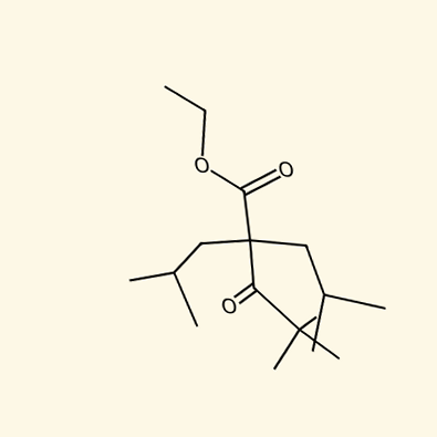 CCOC(=O)C(CC(C)C)(CC(C)C)C(=O)C(C)(C)C